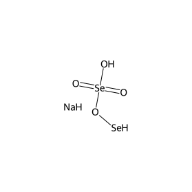 O=[Se](=O)(O)O[SeH].[NaH]